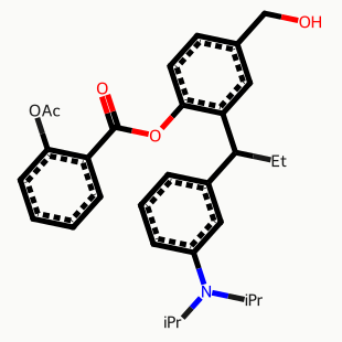 CCC(c1cccc(N(C(C)C)C(C)C)c1)c1cc(CO)ccc1OC(=O)c1ccccc1OC(C)=O